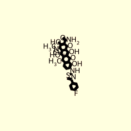 C[C@H]1c2ccc(Nc3nc(-c4ccc(F)cc4)cs3)c(O)c2C(=O)C2=C(O)C3C(=O)C(C(N)=O)=C(O)[C@@H](N(C)C)C3[C@@H](O)C21